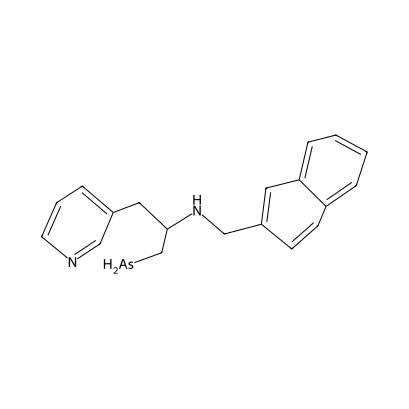 [AsH2]CC(Cc1cccnc1)NCc1ccc2ccccc2c1